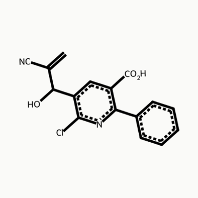 C=C(C#N)C(O)c1cc(C(=O)O)c(-c2ccccc2)nc1Cl